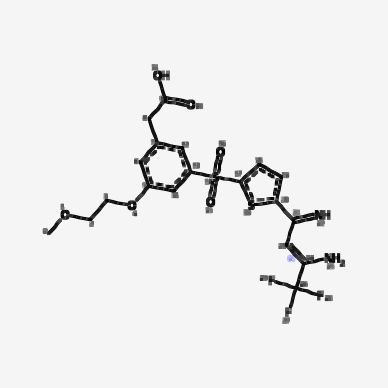 COCCOc1cc(CC(=O)O)cc(S(=O)(=O)c2ccc(C(=N)/C=C(\N)C(F)(F)F)s2)c1